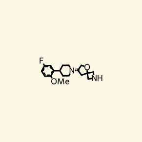 COc1ccc(F)cc1C1CCN([C@@H]2COC3(CNC3)C2)CC1